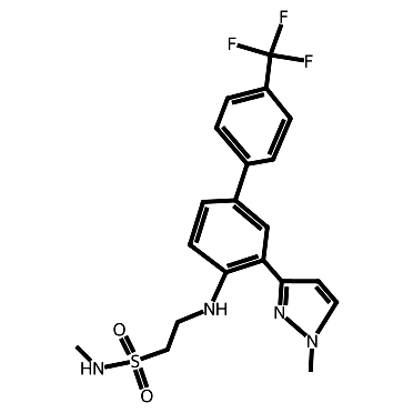 CNS(=O)(=O)CCNc1ccc(-c2ccc(C(F)(F)F)cc2)cc1-c1ccn(C)n1